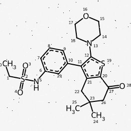 CCS(=O)(=O)Nc1cccc(-c2c(N3CCOCC3)sc3c2CC(C)(C)CC3=O)c1